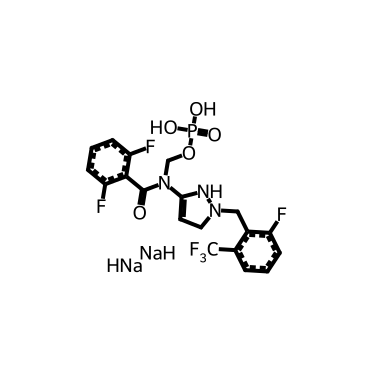 O=C(c1c(F)cccc1F)N(COP(=O)(O)O)C1=CCN(Cc2c(F)cccc2C(F)(F)F)N1.[NaH].[NaH]